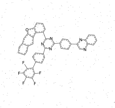 Fc1c(F)c(F)c(-c2ccc(-c3nc(-c4ccc(-c5cnc6ccccc6n5)cc4)nc(-c4cccc5oc6cc7ccccc7cc6c45)n3)cc2)c(F)c1F